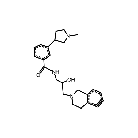 CN1CCC(c2cccc(C(=O)NCC(O)CN3CCc4c#cccc4C3)c2)C1